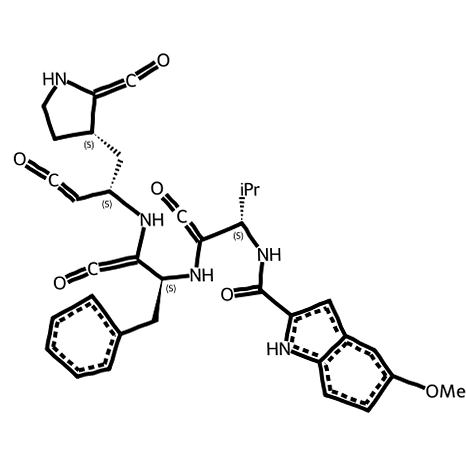 COc1ccc2[nH]c(C(=O)N[C@H](C(=C=O)N[C@@H](Cc3ccccc3)C(=C=O)N[C@H](C=C=O)C[C@@H]3CCNC3=C=O)C(C)C)cc2c1